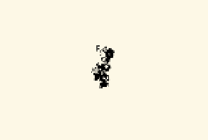 C=C(C)c1cc(C2(c3nc4c(c(=O)[nH]3)CN(C(=O)Cc3cccc(C(F)(F)F)c3)CCC4)CC2)ccn1